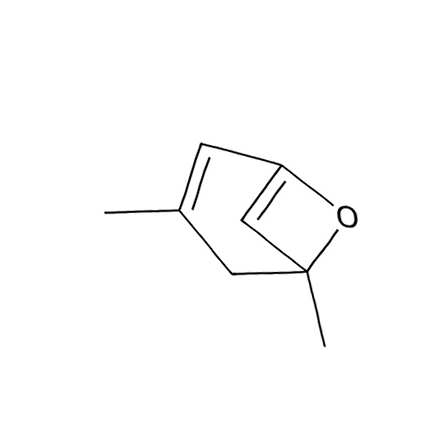 CC1=CC2=CC(C)(C1)O2